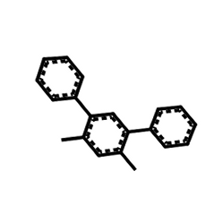 Cc1cc(C)c(-c2ccccc2)cc1-c1ccccc1